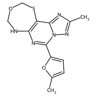 Cc1nc2c3c(nc(-c4ccc(C)o4)n2n1)NCOCS3